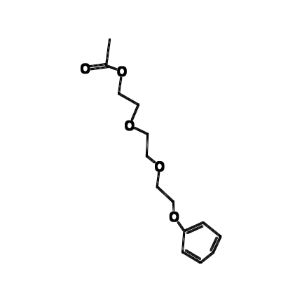 CC(=O)OCCOCCOCCOc1ccccc1